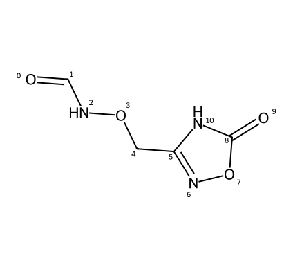 O=CNOCc1noc(=O)[nH]1